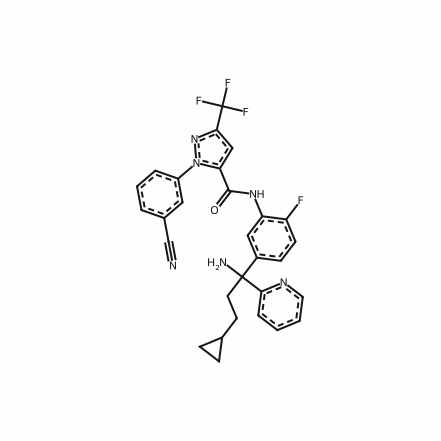 N#Cc1cccc(-n2nc(C(F)(F)F)cc2C(=O)Nc2cc(C(N)(CCC3CC3)c3ccccn3)ccc2F)c1